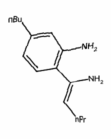 CCC/C=C(\N)c1ccc(CCCC)cc1N